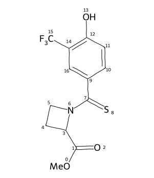 COC(=O)C1CCN1C(=S)c1ccc(O)c(C(F)(F)F)c1